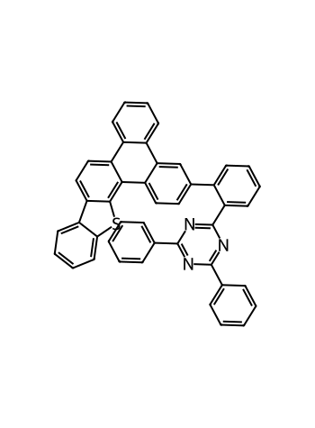 c1ccc(-c2nc(-c3ccccc3)nc(-c3ccccc3-c3ccc4c(c3)c3ccccc3c3ccc5c6ccccc6sc5c34)n2)cc1